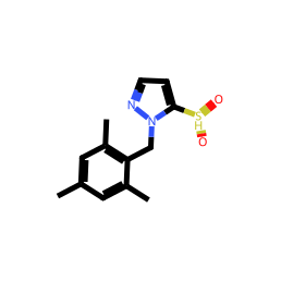 Cc1cc(C)c(Cn2nccc2[SH](=O)=O)c(C)c1